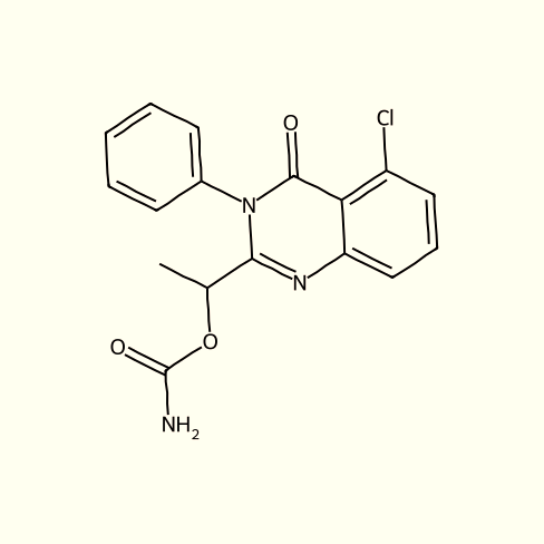 CC(OC(N)=O)c1nc2cccc(Cl)c2c(=O)n1-c1ccccc1